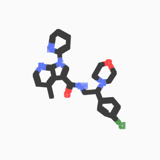 Cc1ccnc2c1c(C(=O)NCC(c1ccc(Cl)cc1)N1CCOCC1)cn2-c1ccccn1